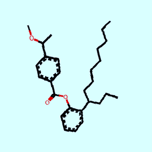 CCCCCCCCC(CCC)c1ccccc1OC(=O)c1ccc(C(C)OC)cc1